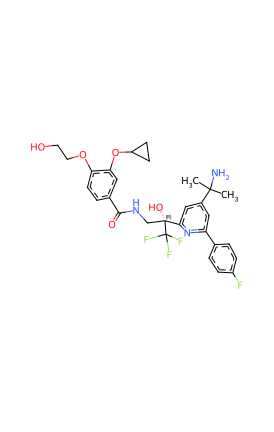 CC(C)(N)c1cc(-c2ccc(F)cc2)nc([C@](O)(CNC(=O)c2ccc(OCCO)c(OC3CC3)c2)C(F)(F)F)c1